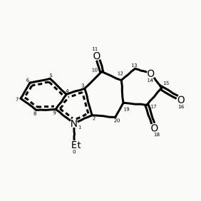 CCn1c2c(c3ccccc31)C(=O)C1COC(=O)C(=O)C1C2